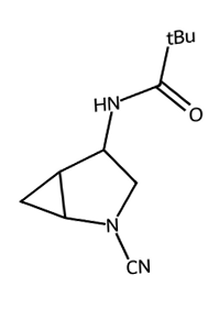 CC(C)(C)C(=O)NC1CN(C#N)C2CC12